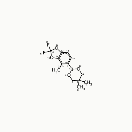 Cc1c(B2OCC(C)(C)CO2)ccc2c1OC(F)(F)O2